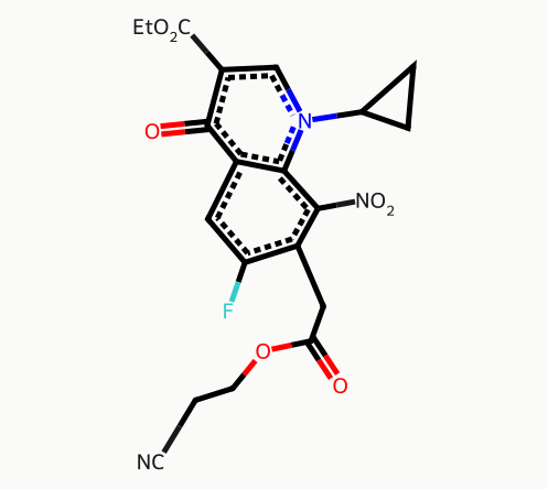 CCOC(=O)c1cn(C2CC2)c2c([N+](=O)[O-])c(CC(=O)OCCC#N)c(F)cc2c1=O